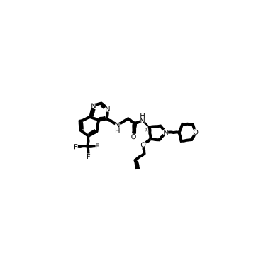 C=CCOC1CN(C2CCOCC2)C[C@@H]1NC(=O)CNc1ncnc2ccc(C(F)(F)F)cc12